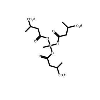 CC(CC(=O)O[Si](C)(OC(=O)CC(C)C(=O)O)OC(=O)CC(C)C(=O)O)C(=O)O